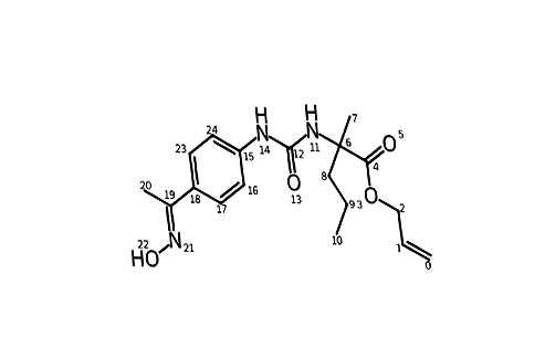 C=CCOC(=O)C(C)(CCC)NC(=O)Nc1ccc(C(C)=NO)cc1